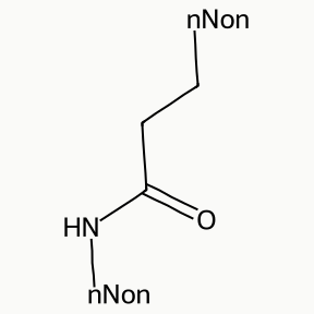 CCCCCCCCCCCC(=O)NCCCCCCCCC